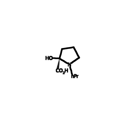 CCCN1CCC[C@@]1(O)C(=O)O